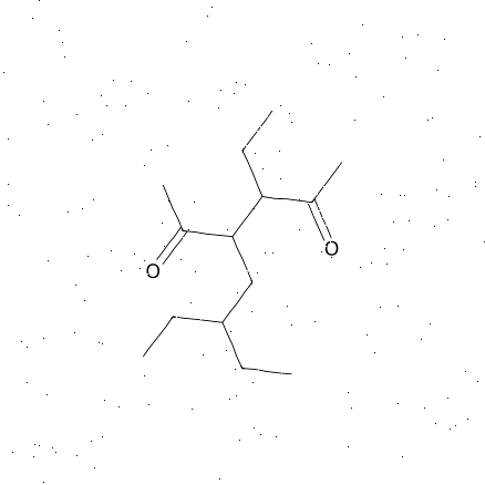 CCC(CC)CC(C(C)=O)C(CC)C(C)=O